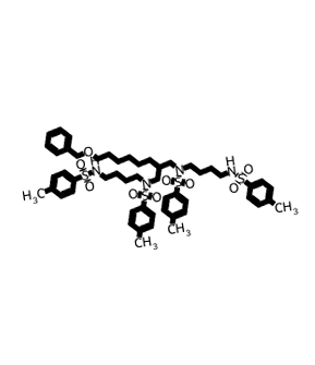 Cc1ccc(S(=O)(=O)NCCCCN(CC(CCCCCCOCc2ccccc2)CN(CCCCNS(=O)(=O)c2ccc(C)cc2)S(=O)(=O)c2ccc(C)cc2)S(=O)(=O)c2ccc(C)cc2)cc1